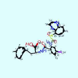 Cc1ccc(CC(NC(=O)c2ccc(I)cc2NS(=O)(=O)c2cccc3nccnc23)C(=O)O)cc1